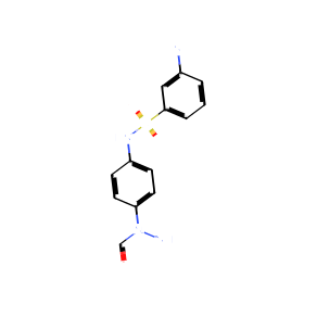 Nc1cccc(S(=O)(=O)Nc2ccc(N(N)C=O)cc2)c1